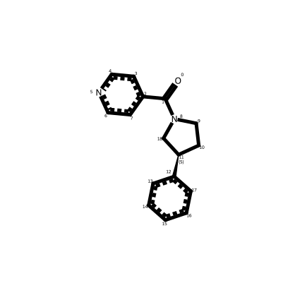 O=C(c1ccncc1)N1CC[C@@H](c2ccccc2)C1